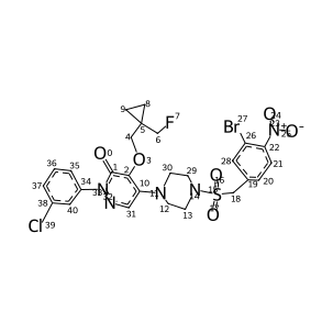 O=c1c(OCC2(CF)CC2)c(N2CCN(S(=O)(=O)Cc3ccc([N+](=O)[O-])c(Br)c3)CC2)cnn1-c1cccc(Cl)c1